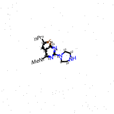 CCCc1cc2c(NC)nc(N3CCNCC3)nc2s1